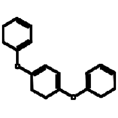 C1=CCCC(OC2=CC=C(OC3=CC=CCC3)CC2)=C1